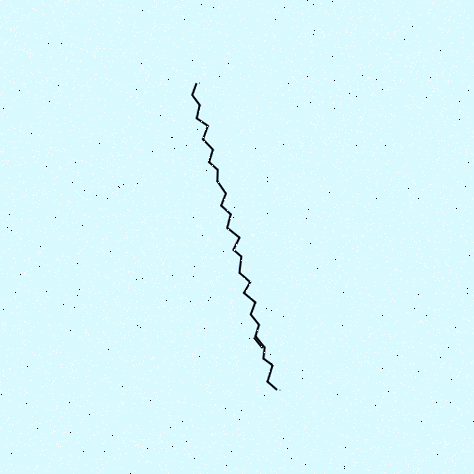 [CH2]CCCC=CCCCCCCCCCCCCCCCCCCCCCC[CH2]